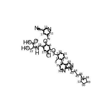 Cc1c(COc2cc(OCc3cncc(C#N)c3)c(CNC(CO)C(=O)O)cc2Cl)cccc1-c1ccnc2c1cnn2CCCCN1CCCC1